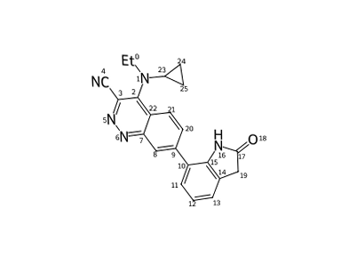 CCN(c1c(C#N)nnc2cc(-c3cccc4c3NC(=O)C4)ccc12)C1CC1